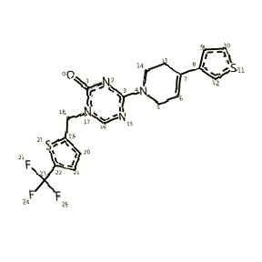 O=c1nc(N2CC=C(c3ccsc3)CC2)ncn1Cc1ccc(C(F)(F)F)s1